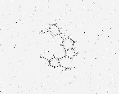 COc1ccc(Cl)cc1-c1c[nH]c2ncc(-c3cccc(O)c3)cc12